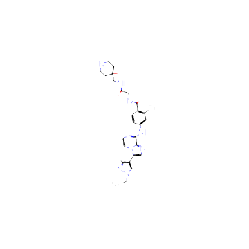 CCc1cc(Nc2nccn3c(-c4cn(CC#N)nc4C(F)(F)F)cnc23)ccc1C(=O)NCC(=O)NCC1(O)CCNCC1